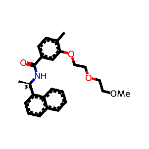 COCCOCCOc1cc(C(=O)N[C@H](C)c2cccc3ccccc23)ccc1C